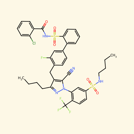 CCCCNS(=O)(=O)c1ccc(C(F)(F)F)c(-n2nc(CCCC)c(Cc3ccc(-c4ccccc4S(=O)(=O)NC(=O)c4ccccc4Cl)cc3F)c2C#N)c1